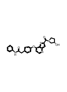 O=C(Cc1ccc(Oc2ccnc3cc(C(=O)N4CC[C@@H](O)C4)sc23)cc1)Nc1ccccc1